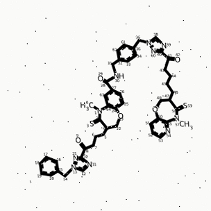 CN1C(=S)C(CCCC(=O)c2ncn(Cc3ccccc3)n2)COc2ccc(C(=O)NCc3ccc(Cn4cnc(C(=O)CCCCC5COc6cccnc6N(C)C5=S)n4)cc3)cc21